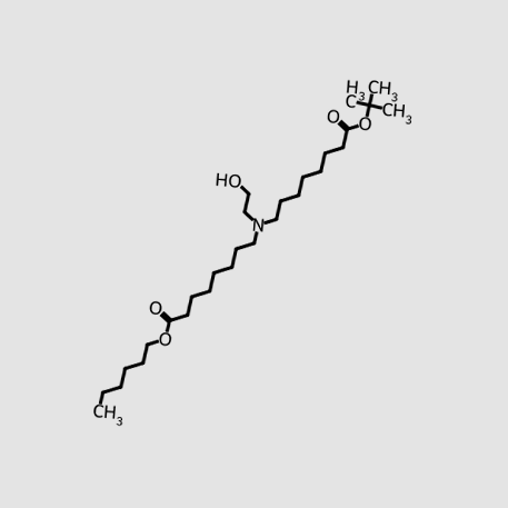 CCCCCCOC(=O)CCCCCCCN(CCO)CCCCCCCC(=O)OC(C)(C)C